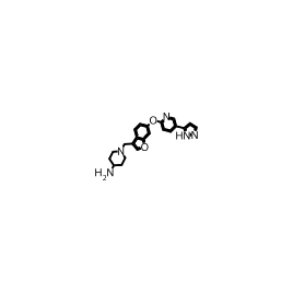 NC1CCN(Cc2coc3cc(Oc4ccc(-c5ccn[nH]5)cn4)ccc23)CC1